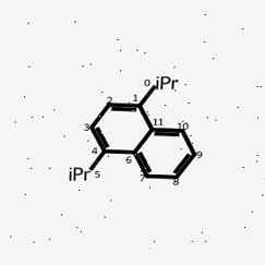 CC(C)c1ccc(C(C)C)c2ccccc12